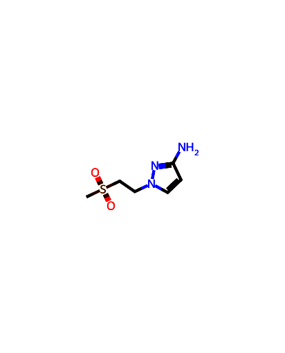 CS(=O)(=O)CCn1ccc(N)n1